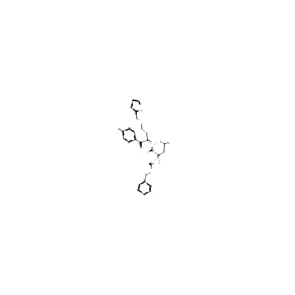 CC(C)CC(NC(=O)OCc1ccccc1)C(=O)NC(CCSCc1ccco1)C(=O)c1ccc(Cl)cc1